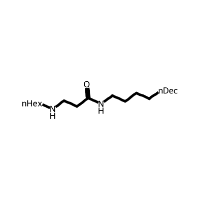 CCCCCCCCCCCCCCNC(=O)CCNCCCCCC